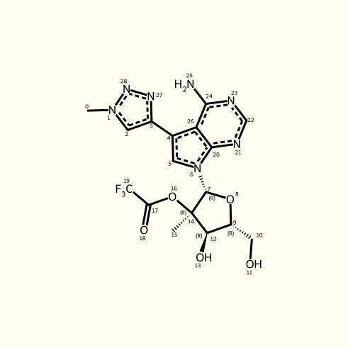 Cn1cc(-c2cn([C@@H]3O[C@H](CO)[C@@H](O)[C@@]3(C)OC(=O)C(F)(F)F)c3ncnc(N)c23)nn1